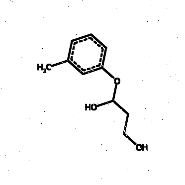 Cc1cccc(OC(O)CCO)c1